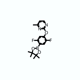 Cc1ccnc(Oc2cc(F)c(B3OC(C)(C)C(C)(C)O3)cc2F)n1